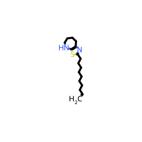 C=CCCCCCCCCc1nc2c(s1)NCCCC2